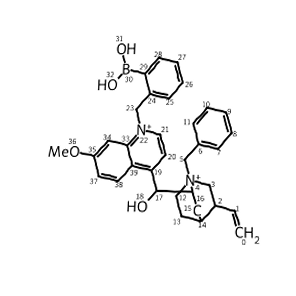 C=CC1C[N+]2(Cc3ccccc3)CCC1CC2C(O)c1cc[n+](Cc2ccccc2B(O)O)c2cc(OC)ccc12